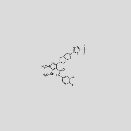 CNc1c(C(=O)Nc2ccc(F)c(Cl)c2)c(C2CC3CN(c4ncc(C(F)(F)F)s4)CC3C2)nn1C